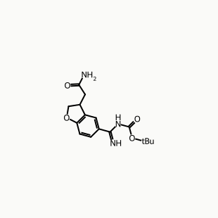 CC(C)(C)OC(=O)NC(=N)c1ccc2c(c1)C(CC(N)=O)CO2